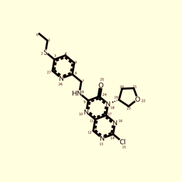 CCSc1ccc(CNc2nc3cnc(Cl)nc3n([C@@H]3CCOC3)c2=O)nc1